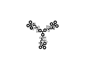 N[C@H](Cc1cn(C(c2ccccc2)(c2ccccc2)c2ccccc2)cn1)C(=O)Nc1ccc(C(c2ccc(NC(=O)[C@H](N)Cc3cn(C(c4ccccc4)(c4ccccc4)c4ccccc4)cn3)cc2)c2ccc(NC(=O)[C@H](N)Cc3cn(C(c4ccccc4)(c4ccccc4)c4ccccc4)cn3)cc2)cc1